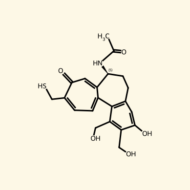 CC(=O)N[C@H]1CCc2cc(O)c(CO)c(CO)c2-c2ccc(CS)c(=O)cc21